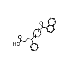 O=C(O)CCC(c1ccccc1)N1CCN(C(=O)c2cccc3ccccc23)CC1